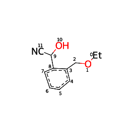 CCOCc1ccccc1C(O)C#N